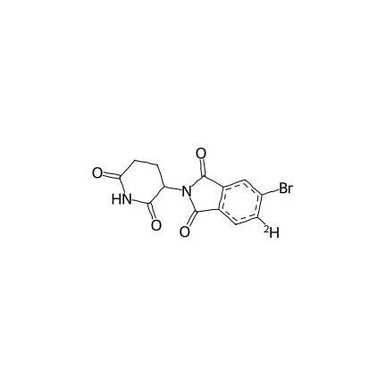 [2H]c1cc2c(cc1Br)C(=O)N(C1CCC(=O)NC1=O)C2=O